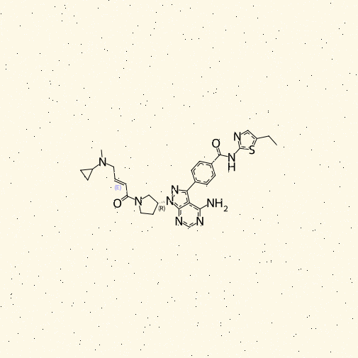 CCc1cnc(NC(=O)c2ccc(-c3nn([C@@H]4CCN(C(=O)/C=C/CN(C)C5CC5)C4)c4ncnc(N)c34)cc2)s1